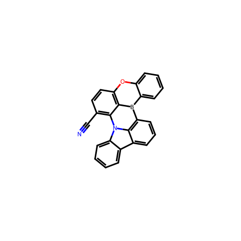 N#Cc1ccc2c3c1-n1c4ccccc4c4cccc(c41)B3c1ccccc1O2